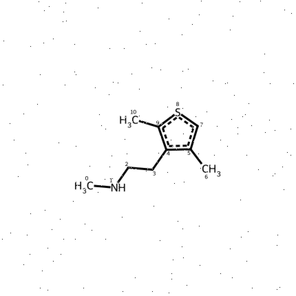 CNCCc1c(C)csc1C